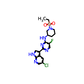 CCS(=O)(=O)N1CCC[C@@H](Nc2nc(-c3c[nH]c4ncc(Cl)cc34)ncc2F)C1